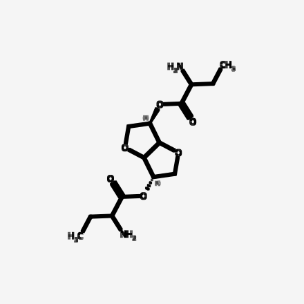 CCC(N)C(=O)O[C@H]1COC2C1OC[C@H]2OC(=O)C(N)CC